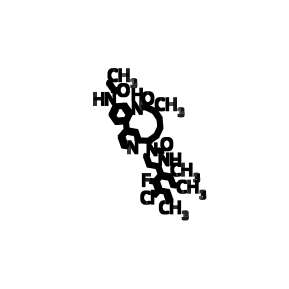 C\C=C/C(Cl)=C(F)\C(=C(\C)CC)C1CCN(C2CCC[C@H](C)C(=O)Nc3cc(NC(=O)CC)ccc3-c3ccnc2c3)C(=O)N1